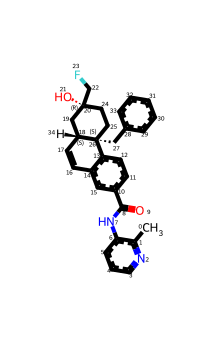 Cc1ncccc1NC(=O)c1ccc2c(c1)C=C[C@@H]1C[C@@](O)(CF)CC[C@@]21Cc1ccccc1